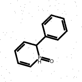 O=[PH]1C=CC=CC1c1ccccc1